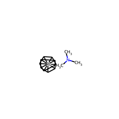 CN(C)C.[CH]12[CH]3[CH]4[CH]5[CH]1[Ru]23451678[CH]2[CH]1[CH]6[CH]7[CH]28